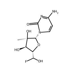 C[C@@]1(O)[C@H](O)[C@@H](C(O)F)O[C@H]1n1ccc(N)nc1=O